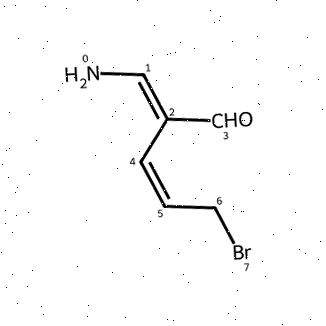 N/C=C(C=O)\C=C/CBr